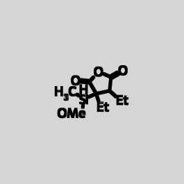 CCC1C(=O)OC(=O)C1(CC)[SiH](C)OC